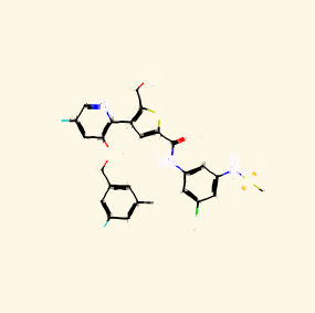 CS(=O)(=O)Nc1cc(Cl)cc(NC(=O)c2cc(-c3ncc(F)cc3OCc3cc(F)cc(C(F)(F)F)c3)c(CO)s2)c1